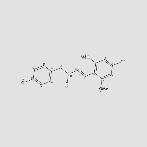 COc1cc(F)cc(OC)c1/C=C/[S+]([O-])Cc1ccc(Cl)cc1